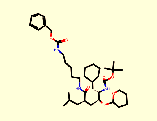 CC(C)C[C@H](C[C@H](OC1CCCCO1)[C@H](CC1CCCCC1)NC(=O)OC(C)(C)C)C(=O)NCCCCCNC(=O)OCc1ccccc1